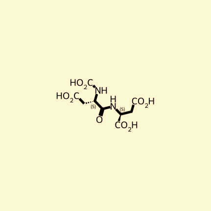 O=C(O)C[C@H](NC(=O)[C@H](CC(=O)O)NC(=O)O)C(=O)O